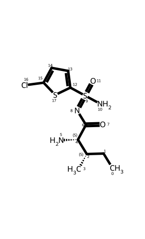 CC[C@H](C)[C@H](N)C(=O)N=S(N)(=O)c1ccc(Cl)s1